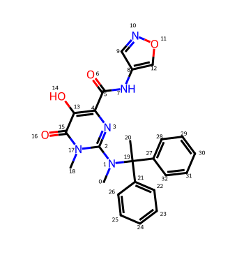 CN(c1nc(C(=O)Nc2cnoc2)c(O)c(=O)n1C)C(C)(c1ccccc1)c1ccccc1